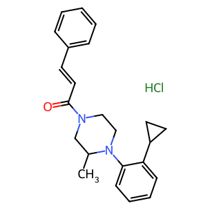 CC1CN(C(=O)C=Cc2ccccc2)CCN1c1ccccc1C1CC1.Cl